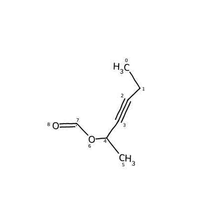 CCC#CC(C)O[C]=O